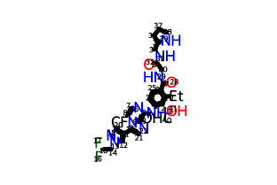 CCc1cc(Nc2nccn3c(-c4cn(CC(F)F)nc4C(F)(F)F)cnc23)ccc1C(=O)NCC(=O)NCC1CCCN1.O=CO